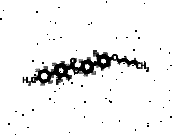 C=CCCCOc1ccc(-c2ccc(OC(=O)c3ccc(C4CCC(C)CC4)c(F)c3F)cc2)c(F)c1